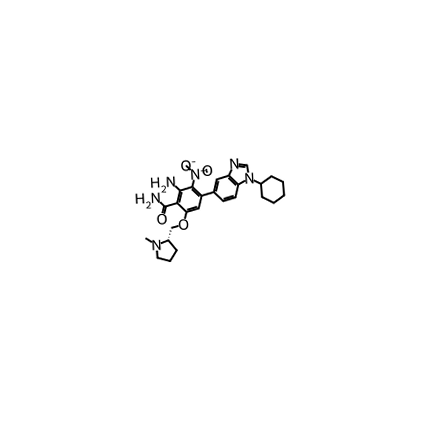 CN1CCC[C@H]1COc1cc(-c2ccc3c(c2)ncn3C2CCCCC2)c([N+](=O)[O-])c(N)c1C(N)=O